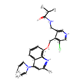 C=CN(/C=C\C)c1cc(C)nc2c(OCc3c(Cl)cncc3CNC(=O)C(CC)CC)cccc12